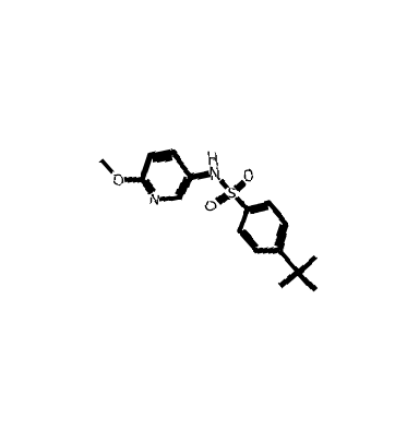 COc1ccc(NS(=O)(=O)c2ccc(C(C)(C)C)cc2)cn1